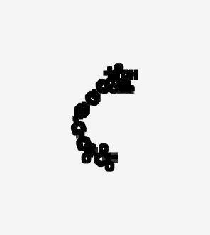 COc1cc(N2CCC(N3CCN(CC4CCN(c5ccc6c(c5)CN(C5CCC(=O)NC5=O)C6=O)CC4)CC3)CC2)ccc1[C@@H]1N(c2ccccc2O)C(=O)C1(C)C